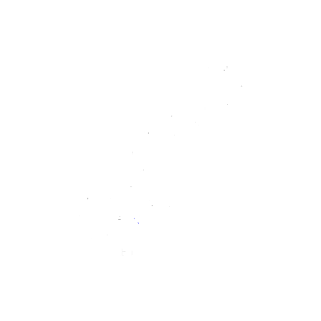 CC(C)(C)c1ccccc1Nc1ccc2cc(OCc3ccccc3)ccc2c1